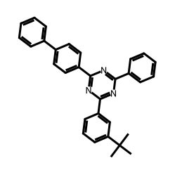 CC(C)(C)c1cccc(-c2nc(-c3ccccc3)nc(-c3ccc(-c4ccccc4)cc3)n2)c1